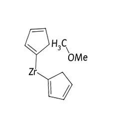 C1=CC[C]([Zr][C]2=CC=CC2)=C1.COC